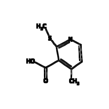 CSc1nccc(C)c1C(=O)O